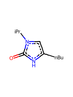 CCCCc1cn(C(C)C)c(=O)[nH]1